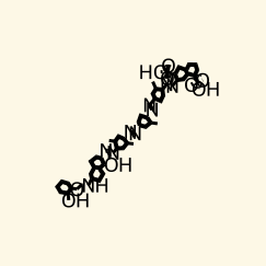 Cc1cc(N=Nc2cc(C)c(N=Nc3ccc4cc(NCOc5ccccc5O)ccc4c3O)cc2C)ccc1N=Nc1ccc(N=Nc2cc3c(S(=O)(=O)O)cccc3cc2S(=O)(=O)O)c(C)c1